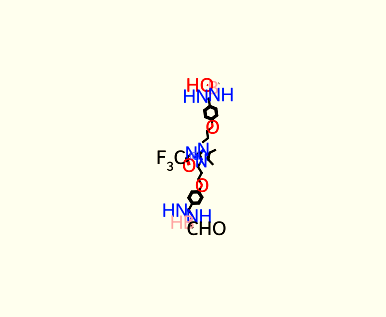 CB(O)NC(=N)c1ccc(OCCCn2c(C)c(C)n(CCCOc3ccc(C(=N)NBC=O)cc3)/c2=N\C(=O)C(F)(F)F)cc1